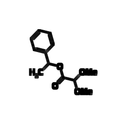 COC(OC)C(=O)OC(C)c1ccccc1